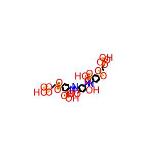 O=S(=O)(O)OCCS(=O)(=O)c1ccc(/N=N/c2cc(/N=N/c3ccc(S(=O)(=O)CCOS(=O)(=O)O)cc3S(=O)(=O)O)c(O)cc2O)c(S(=O)(=O)O)c1